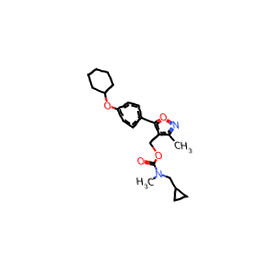 Cc1noc(-c2ccc(OC3CCCCC3)cc2)c1COC(=O)N(C)CC1CC1